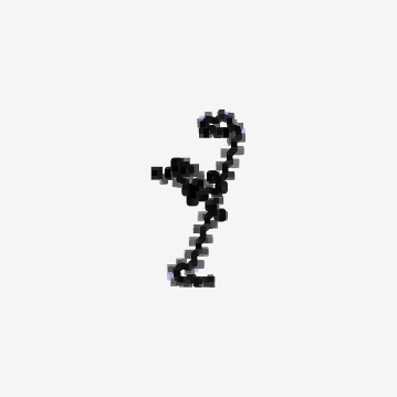 CCCCC/C=C\C/C=C\C/C=C\CCCCCCC(=O)O[C@H](COC(=O)CCCCCCC/C=C\C/C=C\CCCCC)COP(=O)([O-])OCC[N+](C)(C)C